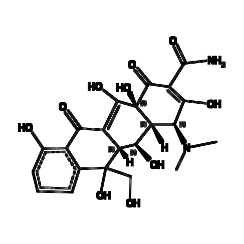 CN(C)[C@@H]1C(O)=C(C(N)=O)C(=O)[C@@]2(O)C(O)=C3C(=O)c4c(O)cccc4C(O)(CO)[C@H]3[C@H](O)[C@@H]12